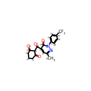 Cc1cc(C(=O)C2C(=O)CCCC2=O)c(=O)n(-c2ccc(C(F)(F)F)cc2)n1